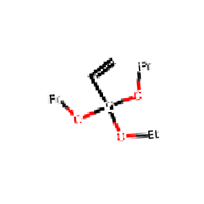 C=C[Si](OCC)(OC(C)C)OC(C)C